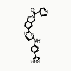 O=C(c1ccncc1)N1CC2C=CC(c3nccc(Nc4ccc(-c5cn[nH]c5)cc4)n3)=CC2C1